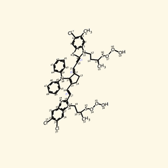 Cc1cc2c(cc1Cl)S/C(=C\C=C1/CCC(/C=C/c3sc4cc(Cl)c(Cl)cc4[n+]3CCC(C)SOOO)=C1N(c1ccccc1)c1ccccc1)N2CCC(C)SOOO